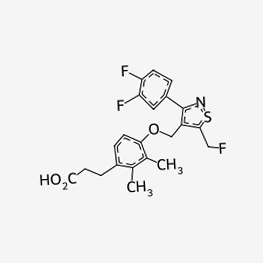 Cc1c(CCC(=O)O)ccc(OCc2c(-c3ccc(F)c(F)c3)nsc2CF)c1C